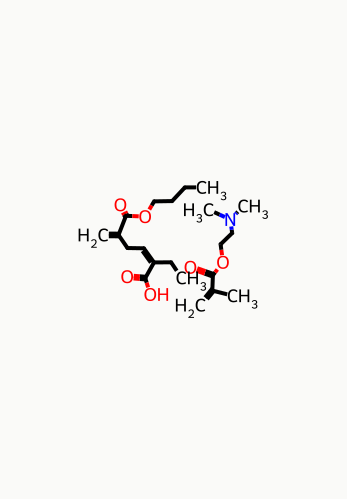 C=C(C)C(=O)OCCN(C)C.C=C(CC=C(CC)C(=O)O)C(=O)OCCCC